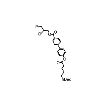 CCCCCCCCCCCCCCC(=O)Oc1ccc(-c2ccc(C(=O)OCC(Cl)CC(C)C)cc2)cc1